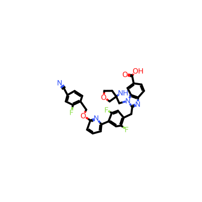 N#Cc1ccc(COc2cccc(-c3cc(F)c(Cc4nc5ccc(C(=O)O)cc5n4CC4(N)CCOC4)cc3F)n2)c(F)c1